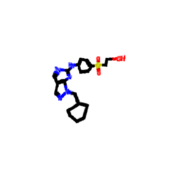 O=S(=O)(CCO)c1ccc(Nc2ncc3cnn(CC4CCCCC4)c3n2)cc1